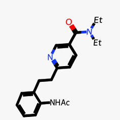 CCN(CC)C(=O)c1ccc(CCc2ccccc2NC(C)=O)nc1